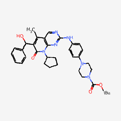 Cc1c(C(O)c2ccccc2)c(=O)n(C2CCCC2)c2nc(Nc3ccc(N4CCN(C(=O)OC(C)(C)C)CC4)cc3)ncc12